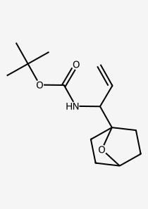 C=CC(NC(=O)OC(C)(C)C)C12CCC(CC1)O2